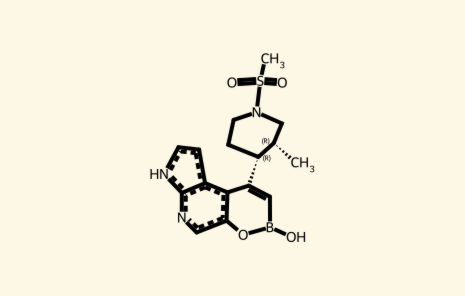 C[C@H]1CN(S(C)(=O)=O)CC[C@H]1C1=CB(O)Oc2cnc3[nH]ccc3c21